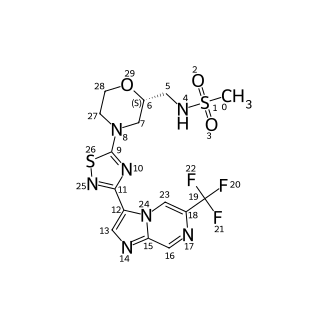 CS(=O)(=O)NC[C@@H]1CN(c2nc(-c3cnc4cnc(C(F)(F)F)cn34)ns2)CCO1